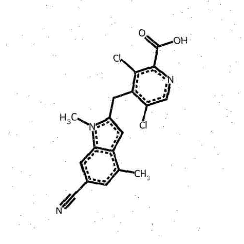 Cc1cc(C#N)cc2c1cc(Cc1c(Cl)cnc(C(=O)O)c1Cl)n2C